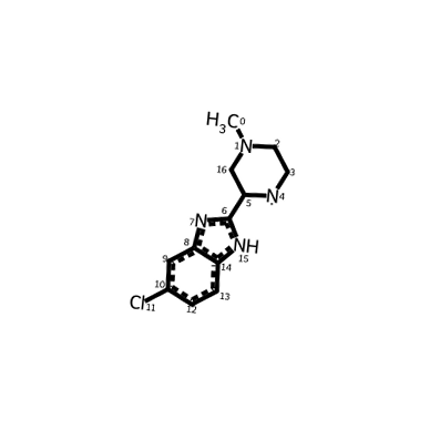 CN1CC[N]C(c2nc3cc(Cl)ccc3[nH]2)C1